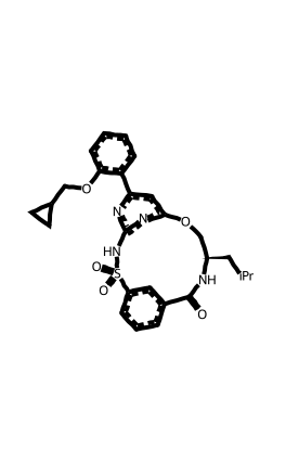 CC(C)C[C@@H]1COc2cc(-c3ccccc3OCC3CC3)nc(n2)NS(=O)(=O)c2cccc(c2)C(=O)N1